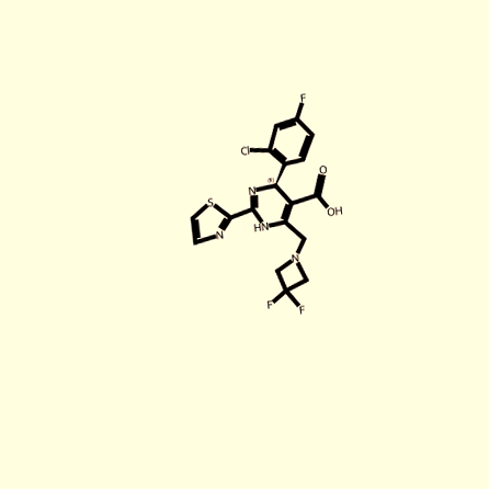 O=C(O)C1=C(CN2CC(F)(F)C2)NC(c2nccs2)=N[C@H]1c1ccc(F)cc1Cl